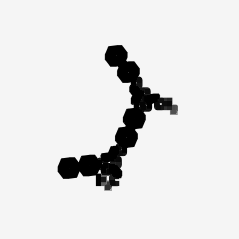 C=CC(=O)OC(COc1ccc(-c2ccccc2)cc1)COc1ccc(-c2ccc(OCC(COc3ccc(-c4ccccc4)cc3)OC(=O)C=C)cc2)cc1